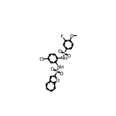 COc1ccc(S(=O)(=O)Nc2ccc(Cl)cc2NS(=O)(=O)c2cc3ccccc3o2)cc1F